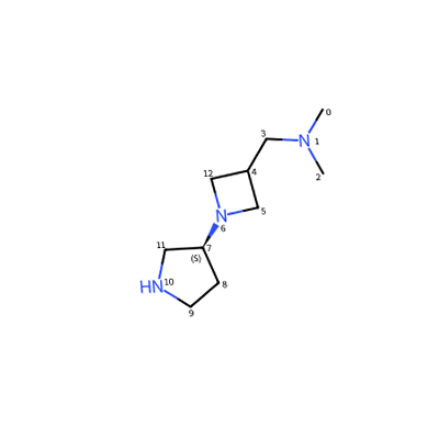 CN(C)CC1CN([C@H]2CCNC2)C1